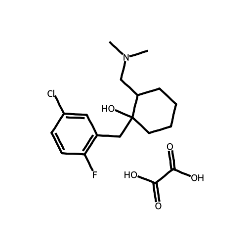 CN(C)CC1CCCCC1(O)Cc1cc(Cl)ccc1F.O=C(O)C(=O)O